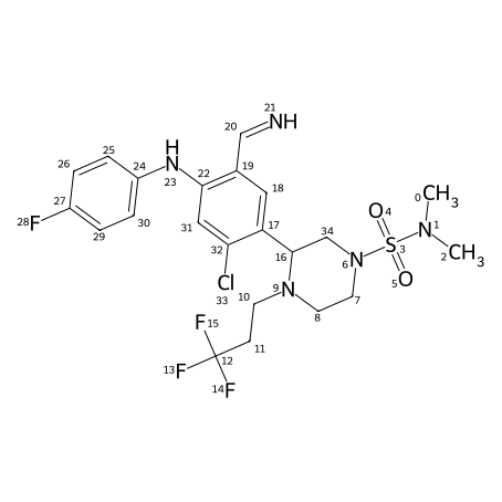 CN(C)S(=O)(=O)N1CCN(CCC(F)(F)F)C(c2cc(C=N)c(Nc3ccc(F)cc3)cc2Cl)C1